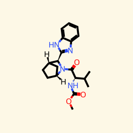 COC(=O)N[C@H](C(=O)N1[C@@H]2CC[C@@H](C2)[C@H]1c1nc2ccccc2[nH]1)C(C)C